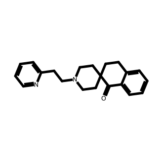 O=C1c2ccccc2CCC12CCN(CCc1ccccn1)CC2